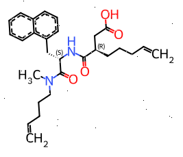 C=CCCC[C@H](CC(=O)O)C(=O)N[C@@H](Cc1cccc2ccccc12)C(=O)N(C)CCCC=C